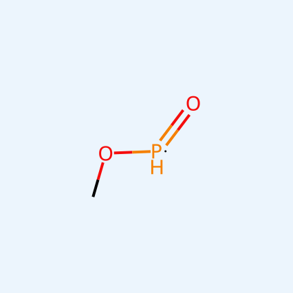 CO[PH]=O